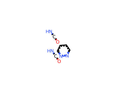 N=C=O.N=C=O.c1ccnnc1